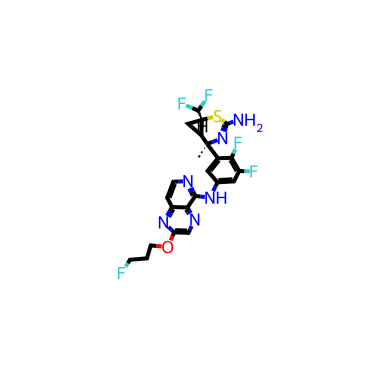 C[C@@]1(c2cc(Nc3nccc4nc(OCCCF)cnc34)cc(F)c2F)N=C(N)S[C@@]2(C(F)F)C[C@@H]12